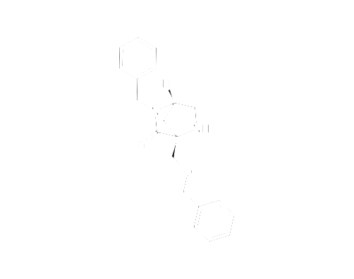 O=C1N(Cc2ccccc2)[C@@H]2CN[C@@]1(COCc1ccccc1)C2